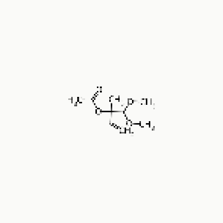 C=CC(C)(OC(C)=O)C(OC)OC